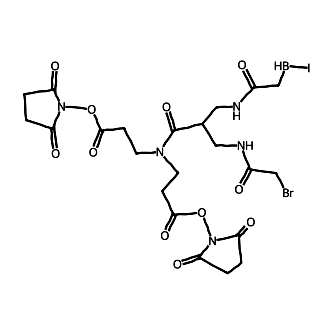 O=C(CBr)NCC(CNC(=O)CBI)C(=O)N(CCC(=O)ON1C(=O)CCC1=O)CCC(=O)ON1C(=O)CCC1=O